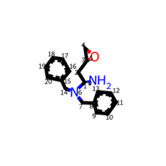 N[C@H](CC1CO1)N(Cc1ccccc1)Cc1ccccc1